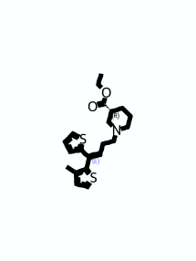 CCOC(=O)[C@@H]1CCCN(CC/C=C(\c2cccs2)c2sccc2C)C1